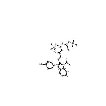 CC(C)n1c(C=C[C@@H]2C[C@H](CC(=O)OC(C)(C)C)OC(C)(C)O2)c(-c2ccc(F)cc2)c2ccccc21